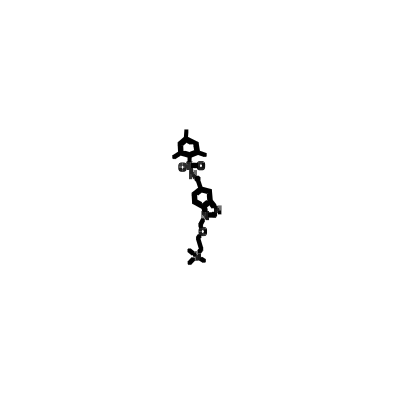 Cc1cc(C)c(S(=O)(=O)/N=C/c2ccc3c(c2)ncn3COCC[Si](C)(C)C)c(C)c1